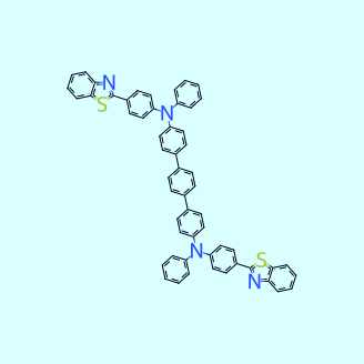 c1ccc(N(c2ccc(-c3ccc(-c4ccc(N(c5ccccc5)c5ccc(-c6nc7ccccc7s6)cc5)cc4)cc3)cc2)c2ccc(-c3nc4ccccc4s3)cc2)cc1